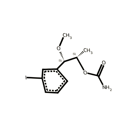 CO[C@@H](c1cccc(I)c1)[C@H](C)OC(N)=O